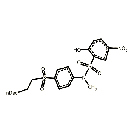 CCCCCCCCCCCCS(=O)(=O)c1ccc(N(C)S(=O)(=O)c2cc([N+](=O)[O-])ccc2O)cc1